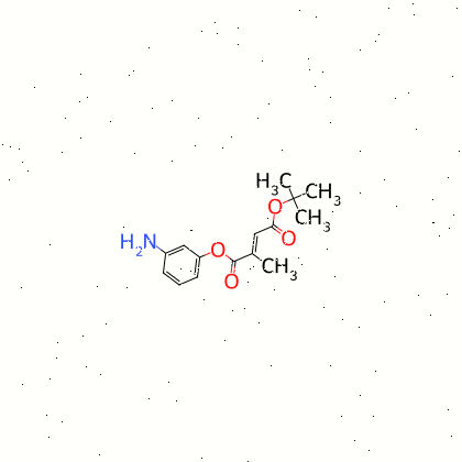 CC(=CC(=O)OC(C)(C)C)C(=O)Oc1cccc(N)c1